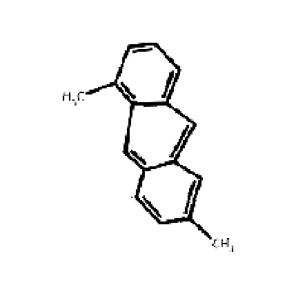 Cc1c[c]c2cc3c(C)cccc3cc2c1